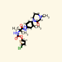 Cc1cc(NC(=O)C(C)(C)NC(=O)Oc2ccc(Br)s2)ccc1N1CCCN(C)CC1=O